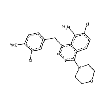 COc1ccc(Cc2nnc(N3CCOCC3)c3ccc(Cl)c(N)c23)cc1Cl